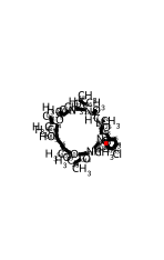 C/C=C(\C)[C@H]1OC(=O)C(C)(C)NC(=O)[C@H](C(C)CC)NC(=O)CN(C)C(=O)[C@@H](Cc2ccc(Cl)cc2)N(C)C(=O)[C@H](C)NC(=O)[C@@H](CC(C)C)OC(=O)/C(C)=C/C[C@H](O)[C@@H]1C